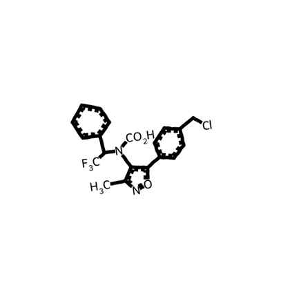 Cc1noc(-c2ccc(CCl)cc2)c1N(C(=O)O)C(c1ccccc1)C(F)(F)F